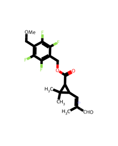 COCc1c(F)c(F)c(COC(=O)C2C(/C=C(\C)C=O)C2(C)C)c(F)c1F